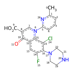 Cc1cccc(-n2cc(C(=O)O)c(=O)c3cc(F)c(N4CCNCC4)c(Cl)c32)n1